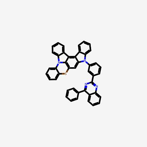 c1ccc(-c2nc(-c3cccc(-n4c5ccccc5c5c6c7ccccc7n7c6c(cc54)Sc4ccccc4-7)c3)nc3ccccc23)cc1